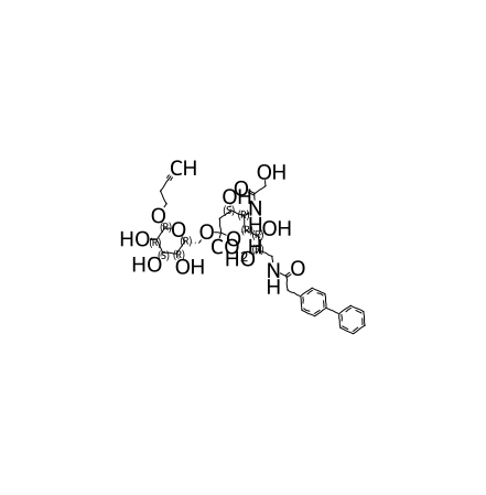 C#CCCO[C@@H]1O[C@H](COC2(C(=O)O)C[C@H](O)[C@@H](NC(=O)CO)[C@H]([C@H](O)[C@H](O)CNC(=O)Cc3ccc(-c4ccccc4)cc3)O2)[C@H](O)[C@H](O)[C@H]1O